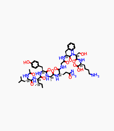 CC[C@H](C)[C@H](NC(=O)[C@H](CC(C)C)NC(C)=O)C(=O)N[C@@H](Cc1ccc(O)cc1)C(=O)N[C@@H](C)C(=O)N[C@@H](CCC(N)=O)C(=O)NCC(=O)N[C@@H](Cc1ccccc1)C(=O)N[C@@H](CO)C(=O)N[C@@H](CCCCN)C(=O)O